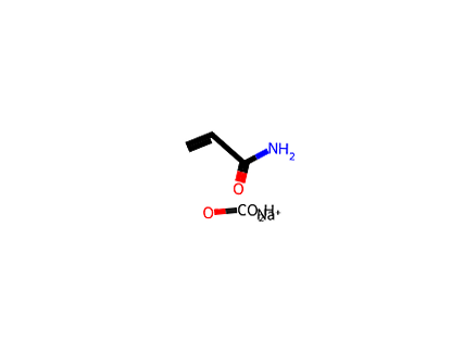 C=CC(N)=O.O=C([O-])O.[Na+]